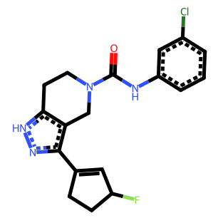 O=C(Nc1cccc(Cl)c1)N1CCc2[nH]nc(C3=CC(F)CC3)c2C1